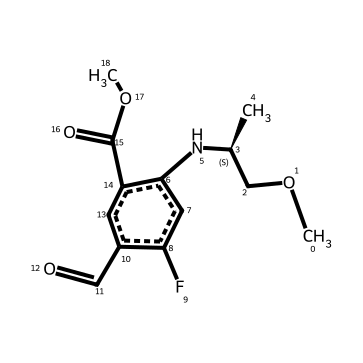 COC[C@H](C)Nc1cc(F)c(C=O)cc1C(=O)OC